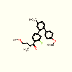 CCCCCCCCCOc1ccc(-c2ccc(C(=O)O)cc2-c2ccc(C(=O)[C@H](C)CCOC(C)C)c(F)c2)cc1